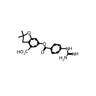 CC1(C)Cc2c(cc(OC(=O)c3ccc(NC(=N)N)cc3)cc2C(=O)O)O1